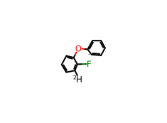 [2H]c1cccc(Oc2[c]cccc2)c1F